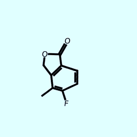 Cc1c(F)ccc2c1COC2=O